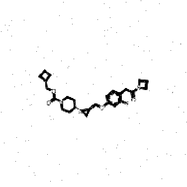 O=C(Cc1ccc(OCC2C[C@@H]2C2CCN(C(=O)OCC3CCC3)CC2)cc1F)N1CCC1